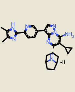 Cc1nc(-c2ccc(-c3cnn4c(N)c(C5CC5)c([C@H]5CC6CC[C@H](C5)N6)nc34)cn2)[nH]c1C